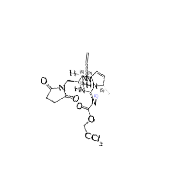 C=C1N[C@H]2[C@H](CN3C(=O)CCC3=O)N/C(=N\C(=O)OCC(Cl)(Cl)Cl)N3[C@@H](C)C=C[C@]23N1